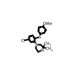 COc1ccc(Sc2ccc(Cl)cc2N2CC[N]C(C)(C)C2)cc1